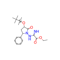 CCOC(=O)C(=N)NN1C(=O)C(O[Si](C)(C)C(C)(C)C)CC1c1ccccc1